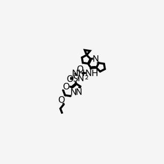 CCCOC1COc2c(S(N)(=O)=NC(=O)Nc3c4c(nc5c3CCC53CC3)CCC4)cnn2C1